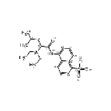 CCN(CC)C(CC(C)C)C(=O)Nc1cccc2c(S(=O)(=O)Cl)cccc12